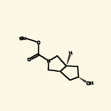 CC(C)(C)OC(=O)N1CC2C[C@@H](O)C[C@@H]2C1